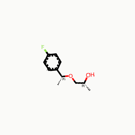 C[C@@H](O)CO[C@H](C)c1[c]cc(F)cc1